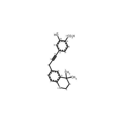 CC1(C)CCSc2ccc(CC#Cc3ccc(C(=O)O)c(O)c3)cc21